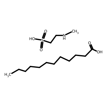 CCCCCCCCCCCC(=O)O.CNCCS(=O)(=O)O